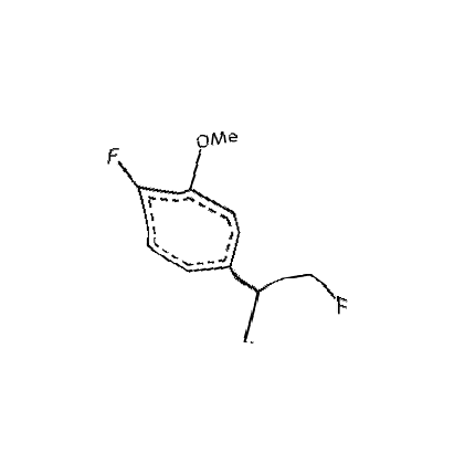 [CH2]C(CF)c1ccc(F)c(OC)c1